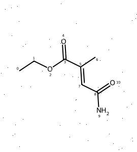 CCOC(=O)C(C)=CC(N)=O